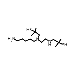 CC(C)(S)CNCCN(CCCCCN)CC(C)(C)S